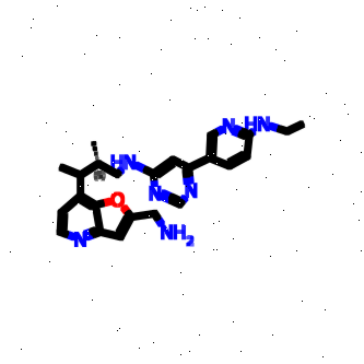 CCNc1ccc(-c2cc(NC[C@@H](C)C(C)c3ccnc4cc(CN)oc34)ncn2)cn1